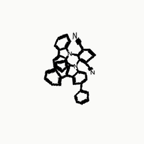 N#Cc1ccc(C#N)c(-n2c3ccc(-c4ccccc4)cc3c3c4ccccc4ccc32)c1-n1c2ccccc2c2ccccc21